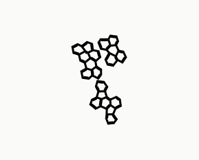 c1cc2ccc3ccc4c5cccc6cccc(c7cc(c1)c2c3c47)c65.c1cc2cccc3c4cccc5cccc(c(c1)c23)c54.c1ccc2c(c1)c1cccc3c4c5ccccc5c5cccc(c2c13)c54